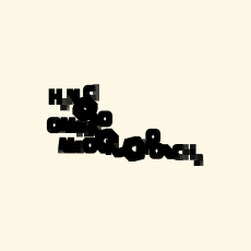 C=CCOC(=O)N1CCC(CN2CC[C@H](NC(=O)c3cc(Cl)c(N)cc3OC)[C@H](OC)C2)CC1